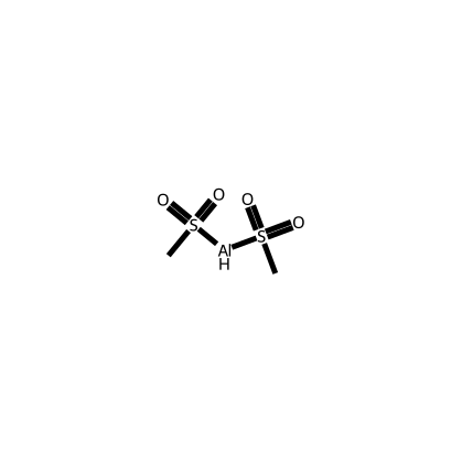 C[S](=O)(=O)[AlH][S](C)(=O)=O